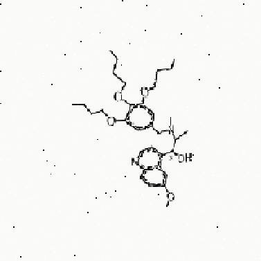 CCCCOc1cc(CN(C)C(C)[C@@H](O)c2ccnc3ccc(OC)cc23)cc(OCCCC)c1OCCCC